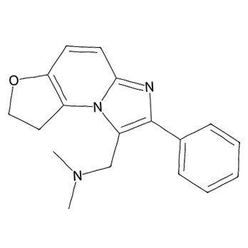 CN(C)Cc1c(-c2ccccc2)nc2ccc3c(n12)CCO3